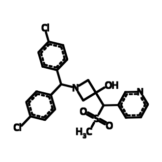 CS(=O)(=O)C(c1cccnc1)C1(O)CN(C(c2ccc(Cl)cc2)c2ccc(Cl)cc2)C1